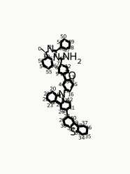 C[C@@H](/N=C(\N=C(/N)c1ccc2c(c1)oc1ccc(-n3c4ccccc4c4cc(-c5ccc6sc7ccccc7c6c5)ccc43)cc12)c1ccccc1)c1ccccc1